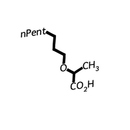 CCCCCCCCOC(C)C(=O)O